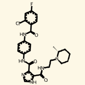 C[C@@H]1CCCCN1CCNC(=O)c1[nH]cnc1C(=O)Nc1ccc(NC(=O)c2ccc(F)cc2Cl)cc1